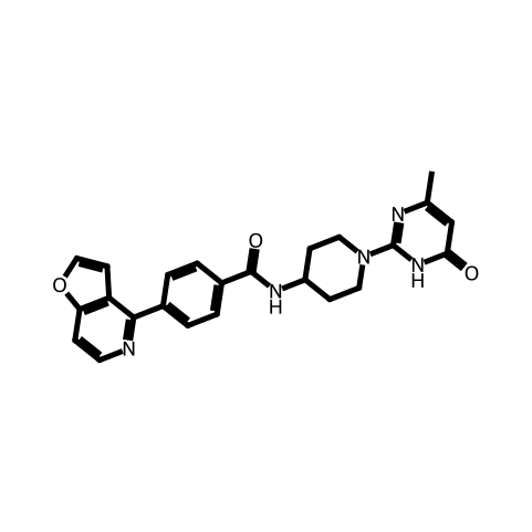 Cc1cc(=O)[nH]c(N2CCC(NC(=O)c3ccc(-c4nccc5occc45)cc3)CC2)n1